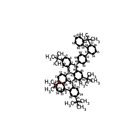 CC(C)(C)c1ccc2c(c1)B1c3ccc(C(C)(C)C)cc3N(c3ccc(C(C)(C)C)cc3-c3ccccc3)c3cc(C(C)(C)C)cc(c31)N2c1ccc(-c2cccc3c2-c2ccccc2C3(C)C)cc1